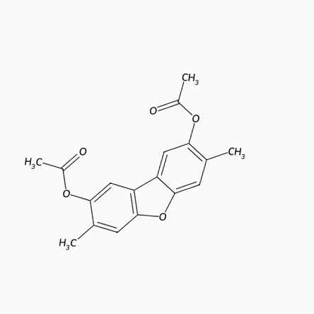 CC(=O)Oc1cc2c(cc1C)oc1cc(C)c(OC(C)=O)cc12